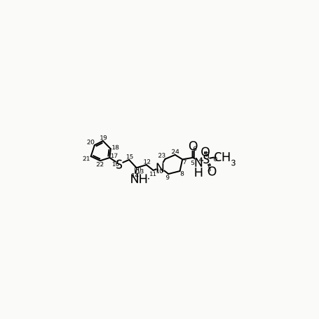 CS(=O)(=O)NC(=O)C1CCN(CC[C@@H]([NH])CSc2ccccc2)CC1